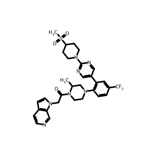 CC1CN(c2ccc(C(F)(F)F)cc2-c2cnc(N3CCC(S(C)(=O)=O)CC3)nc2)CCN1C(=O)Cn1ccc2ccncc21